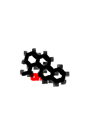 C[C](O)C1CCC=c2ccc3c(c21)CC=c1ccccc1=3